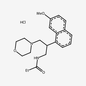 CCC(=O)NCC(CN1CCOCC1)c1cccc2ccc(OC)cc12.Cl